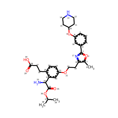 Cc1oc(-c2cccc(OC3CCNCC3)c2)nc1CCOc1ccc(CCC(=O)O)c(C(N)C(=O)OC(C)C)c1